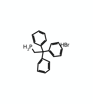 Br.PCC(c1ccccc1)(c1ccccc1)c1ccccc1